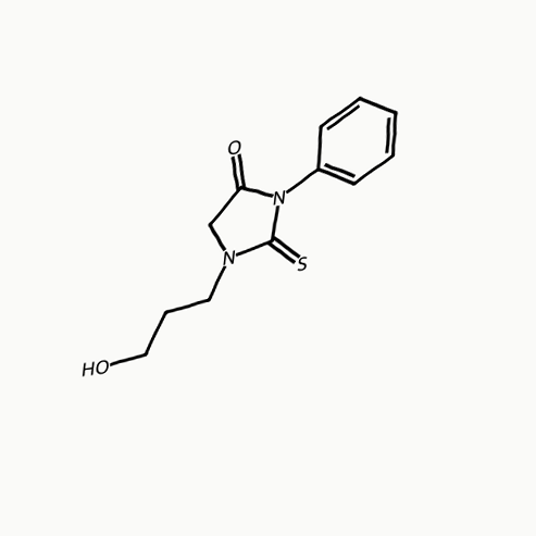 O=C1CN(CCCO)C(=S)N1c1ccccc1